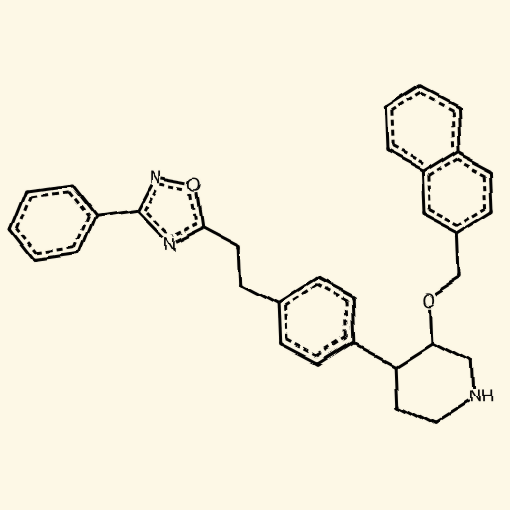 c1ccc(-c2noc(CCc3ccc(C4CCNCC4OCc4ccc5ccccc5c4)cc3)n2)cc1